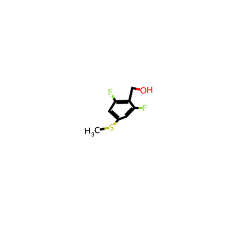 CSc1cc(F)c(CO)c(F)c1